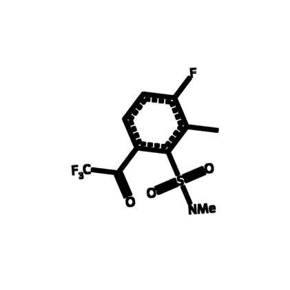 CNS(=O)(=O)c1c(C(=O)C(F)(F)F)ccc(F)c1C